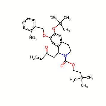 C=CC(=O)CC1c2cc(OCc3ccccc3[N+](=O)[O-])c(O[Si](C)(C)C(C)(C)C)cc2CCN1C(=O)OCC[Si](C)(C)C